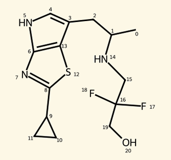 CC(Cc1c[nH]c2nc(C3CC3)sc12)NCC(F)(F)CO